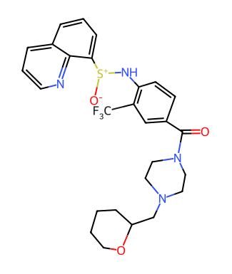 O=C(c1ccc(N[S+]([O-])c2cccc3cccnc23)c(C(F)(F)F)c1)N1CCN(CC2CCCCO2)CC1